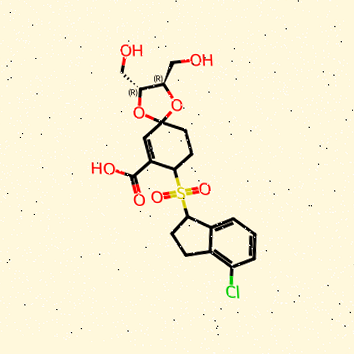 O=C(O)C1=CC2(CCC1S(=O)(=O)C1CCc3c(Cl)cccc31)O[C@H](CO)[C@@H](CO)O2